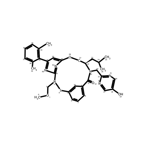 COCN1Sc2cccc(c2)C(=O)N(Cc2ncc(O)cn2)[C@H](CC(C)C)COc2cc(-c3c(C)cccc3C)nc1n2